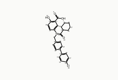 O=C(O)c1cc(N(Cc2ccc(-c3ccc(Cl)cc3)cc2)C(=O)C2CCCCC2)ccc1O